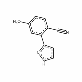 Cc1ccc(C#N)c(-c2cc[nH]n2)c1